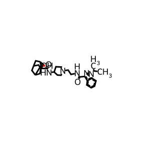 CC(C)n1nc(C(=O)NCCN2CCC(NC(=O)C34CC5CC(C3)C(O)C(C5)C4)CC2)c2ccccc21